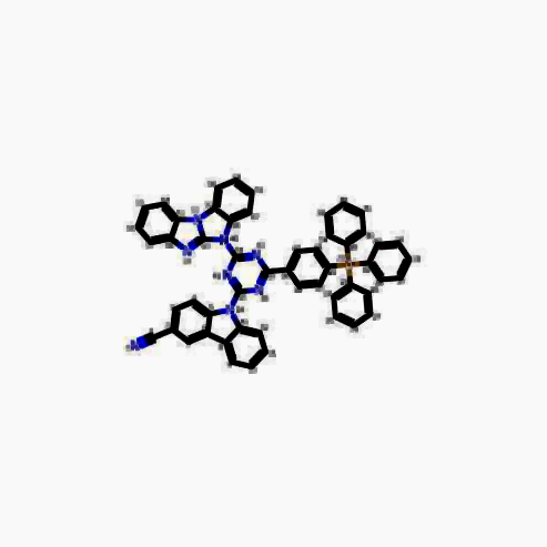 N#Cc1ccc2c(c1)c1ccccc1n2-c1nc(-c2ccc(S(c3ccccc3)(c3ccccc3)c3ccccc3)cc2)nc(-n2c3ccccc3n3c4ccccc4nc23)n1